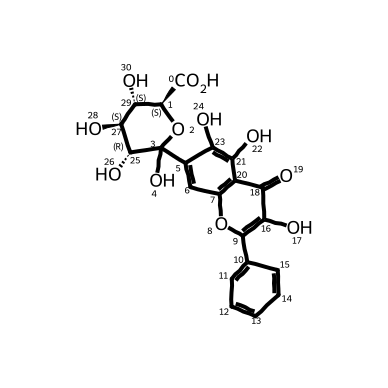 O=C(O)[C@H]1OC(O)(c2cc3oc(-c4ccccc4)c(O)c(=O)c3c(O)c2O)[C@H](O)[C@@H](O)[C@@H]1O